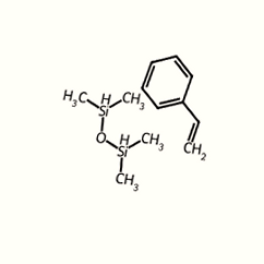 C=Cc1ccccc1.C[SiH](C)O[SiH](C)C